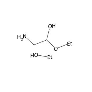 CCO.CCOC(O)CN